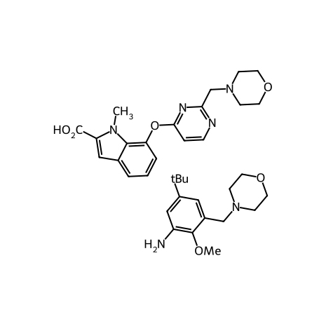 COc1c(N)cc(C(C)(C)C)cc1CN1CCOCC1.Cn1c(C(=O)O)cc2cccc(Oc3ccnc(CN4CCOCC4)n3)c21